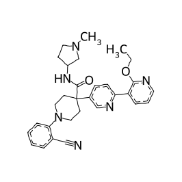 CCOc1ncccc1-c1ccc(C2(C(=O)NC3CCN(C)C3)CCN(c3ccccc3C#N)CC2)cn1